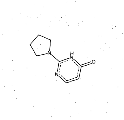 O=c1[c]cnc(N2CCCC2)[nH]1